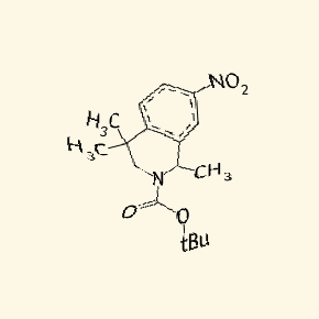 CC1c2cc([N+](=O)[O-])ccc2C(C)(C)CN1C(=O)OC(C)(C)C